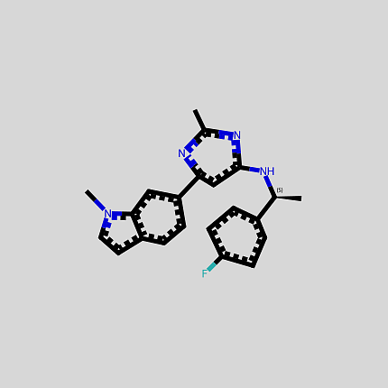 Cc1nc(N[C@@H](C)c2ccc(F)cc2)cc(-c2ccc3ccn(C)c3c2)n1